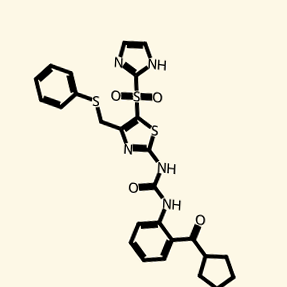 O=C(Nc1nc(CSc2ccccc2)c(S(=O)(=O)c2ncc[nH]2)s1)Nc1ccccc1C(=O)C1CCCC1